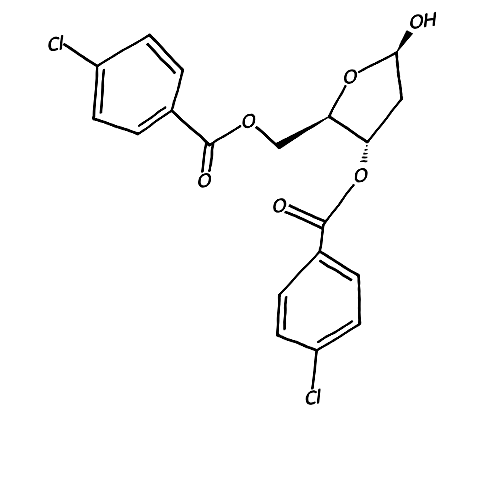 O=C(OC[C@H]1O[C@@H](O)C[C@@H]1OC(=O)c1ccc(Cl)cc1)c1ccc(Cl)cc1